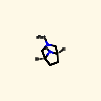 CCCCCN1C[C@H]2CC[C@@H](C1)N2CC